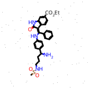 CCOC(=O)c1ccc2c(c1)NC(=O)/C2=C(\Nc1ccc(C(N)CCCNS(C)(=O)=O)cc1)c1ccccc1